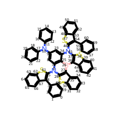 c1ccc(-c2c(N3c4cc(N(c5ccccc5)c5ccccc5)cc5c4B(c4c3sc3ccccc43)c3c(sc4ccccc34)N5c3sc4ccccc4c3-c3ccccc3)sc3ccccc23)cc1